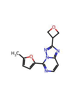 Cc1ccc(-c2nccc3nc(C4COC4)nn23)o1